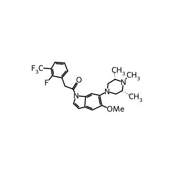 COc1cc2ccn(C(=O)Cc3cccc(C(F)(F)F)c3F)c2cc1N1C[C@@H](C)N(C)[C@@H](C)C1